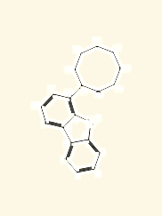 c1ccc2c(c1)[N]c1c-2cccc1C1CCCCCCC1